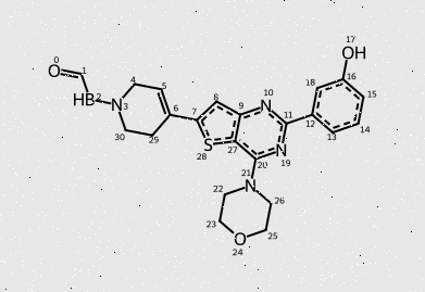 O=CBN1CC=C(c2cc3nc(-c4cccc(O)c4)nc(N4CCOCC4)c3s2)CC1